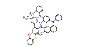 Cc1cc2c3c(c1)N(c1ccccc1C)c1ccc(N(c4ccccc4)c4ccccc4)cc1B3N(c1ccccc1C)c1cc3c(cc1-2)Oc1ccccc1S3